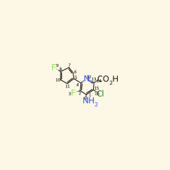 Nc1c(F)c(-c2ccc(F)cc2)nc(C(=O)O)c1Cl